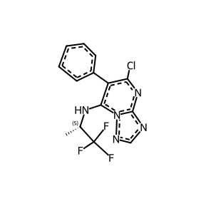 C[C@H](Nc1c(-c2ccccc2)c(Cl)nc2ncnn12)C(F)(F)F